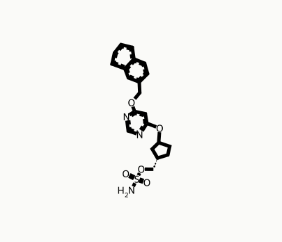 NS(=O)(=O)OC[C@H]1CCC(Oc2cc(OCc3ccc4ccccc4c3)ncn2)C1